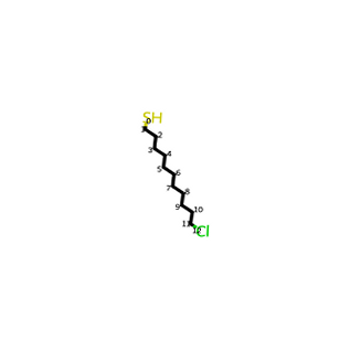 SCCCCCCCCCCCCl